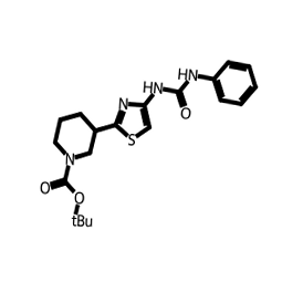 CC(C)(C)OC(=O)N1CCCC(c2nc(NC(=O)Nc3ccccc3)cs2)C1